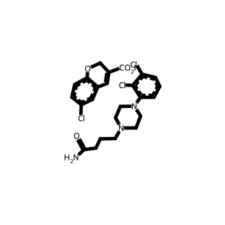 NC(=O)CCCN1CCN(c2cccc(Cl)c2Cl)CC1.O=C(O)C1=Cc2cc(Cl)ccc2OC1